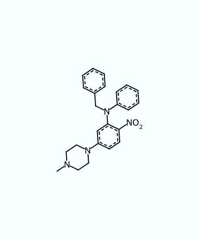 CN1CCN(c2ccc([N+](=O)[O-])c(N(Cc3ccccc3)c3ccccc3)c2)CC1